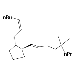 CCCC/C=C\C[C@H]1CCC[C@@H]1/C=C/CCC(C)(C)CCC